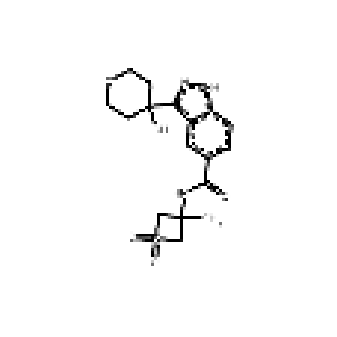 CC1(NC(=O)c2ccc3[nH]nc(C4(O)CCOCC4)c3c2)CS(=O)(=O)C1